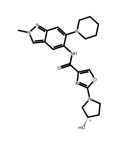 Cn1cc2cc(NC(=O)c3coc(N4CC[C@H](O)C4)n3)c(N3CCCCC3)cc2n1